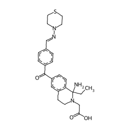 CCC1(N)c2ccc(C(=O)c3ccc(C=NN4CCSCC4)cc3)cc2CCN1CC(=O)O